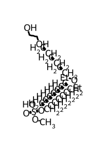 C=C.C=C.C=C.C=C.C=C.C=C.C=C.C=C.C=C.C=C.CCOCC.COS(=O)(=O)O.OCCO